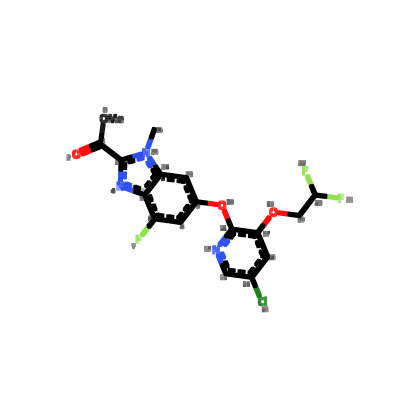 COC(=O)c1nc2c(F)cc(Oc3ncc(Cl)cc3OCC(F)F)cc2n1C